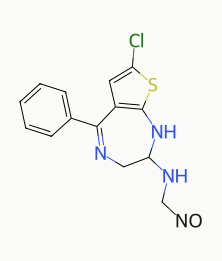 O=NCNC1CN=C(c2ccccc2)c2cc(Cl)sc2N1